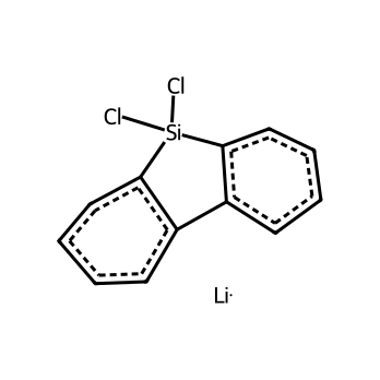 Cl[Si]1(Cl)c2ccccc2-c2ccccc21.[Li]